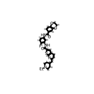 CCN1CCC(Cc2ccc3cc(C(=O)Nc4cc(NC(=O)c5ccc6c(c5)OCCO6)ccc4F)sc3n2)CC1